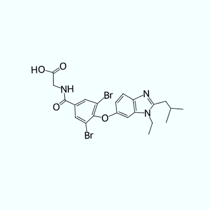 CCn1c(CC(C)C)nc2ccc(Oc3c(Br)cc(C(=O)NCC(=O)O)cc3Br)cc21